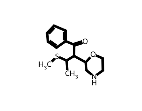 CSC(C)C(C(=O)c1ccccc1)C1CNCCO1